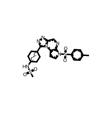 Cc1ccc(S(=O)(=O)n2ccc3c2ncc2nnc(C45CCC(NS(C)(=O)=O)(CC4)CC5)n23)cc1